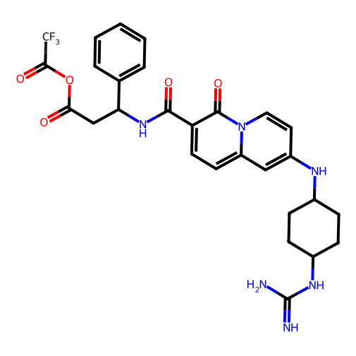 N=C(N)NC1CCC(Nc2ccn3c(=O)c(C(=O)NC(CC(=O)OC(=O)C(F)(F)F)c4ccccc4)ccc3c2)CC1